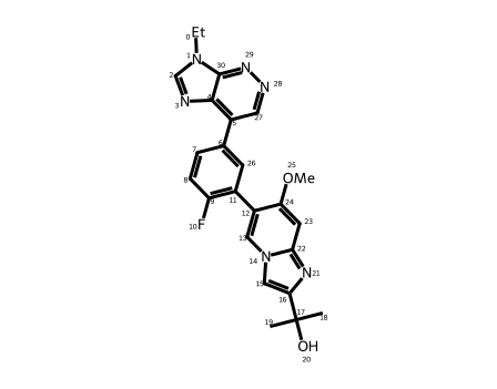 CCn1cnc2c(-c3ccc(F)c(-c4cn5cc(C(C)(C)O)nc5cc4OC)c3)cnnc21